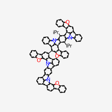 CC(C)c1c2c3c4c(oc5ccccc54)c(-c4cc5c6ccccc6oc5c5c4c4cccc6c7cc8c(cc7n5c64)c4cccc5c6ccc7c9ccccc9oc7c6n8c45)c4c5ccccc5n(c2c(C(C)C)c2c5c6c(cc7c8ccccc8n(c12)c75)oc1ccccc16)c43